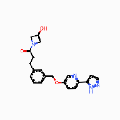 O=C(CCc1cccc(COc2ccc(-c3ccn[nH]3)nc2)c1)N1CC(O)C1